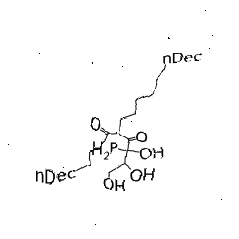 CCCCCCCCCCCCCCCCC(C(=O)CCCCCCCCCCCCC)C(=O)C(O)(P)C(O)CO